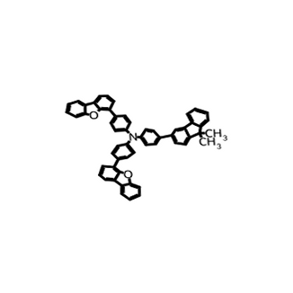 CC1(C)c2ccccc2-c2cc(-c3ccc(N(c4ccc(-c5cccc6c5oc5ccccc56)cc4)c4ccc(-c5cccc6c5oc5ccccc56)cc4)cc3)ccc21